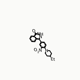 CCC1CCN(c2ccc(-c3n[nH]c(=O)c4ccccc34)cc2[N+](=O)[O-])CC1